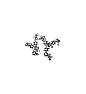 CC(C)(C)OC(=O)NC[C@H]1CC[C@H](C(=O)N(c2ccc(-c3nnn[nH]3)cc2)[C@@H](Cc2cccc(Br)c2)C(N)=O)CC1.O=C(O)NC[C@H]1CC[C@H](C(=O)N[C@@H](Cc2cccc(-c3cccc(S(=O)(=O)NC4CC4)c3)c2)C(=O)Nc2ccc(-c3nnn[nH]3)cc2)CC1